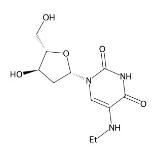 CCNc1cn([C@@H]2C[C@@H](O)[C@H](CO)O2)c(=O)[nH]c1=O